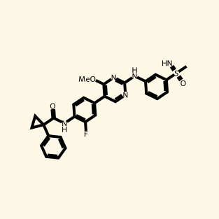 COc1nc(Nc2cccc(S(C)(=N)=O)c2)ncc1-c1ccc(NC(=O)C2(c3ccccc3)CC2)c(F)c1